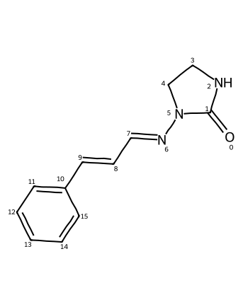 O=C1NCCN1N=CC=Cc1ccccc1